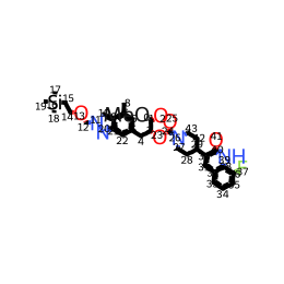 COC(=O)C(Cc1cc(C)c2cn(COCC[Si](C)(C)C)nc2c1)OC(=O)N1CCC(c2cc3cccc(F)c3[nH]c2=O)CC1